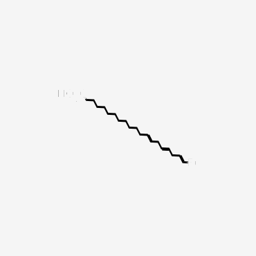 CC/C=C/C/C=C/C/C=C/CCCCCCCCCCCC(=O)O